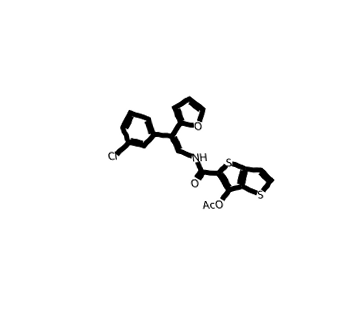 CC(=O)Oc1c(C(=O)N/C=C(/c2cccc(Cl)c2)c2ccco2)sc2ccsc12